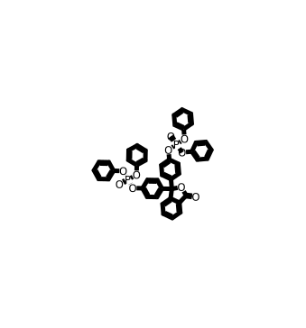 O=C1OC(c2ccc(OP(=O)(Oc3ccccc3)Oc3ccccc3)cc2)(c2ccc(OP(=O)(Oc3ccccc3)Oc3ccccc3)cc2)c2ccccc21